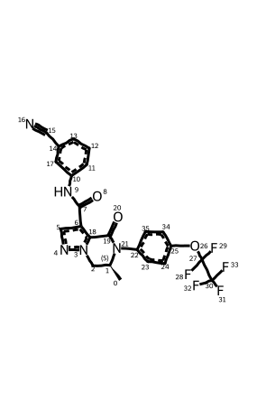 C[C@H]1Cn2ncc(C(=O)Nc3cccc(C#N)c3)c2C(=O)N1c1ccc(OC(F)(F)C(F)(F)F)cc1